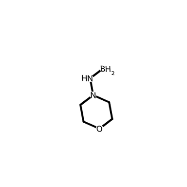 BNN1CCOCC1